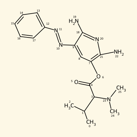 CC(C)C(C(=O)Oc1cc(/N=N/c2ccccc2)c(N)nc1N)N(C)C